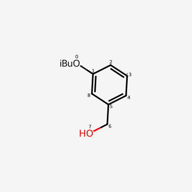 CC(C)COc1c[c]cc(CO)c1